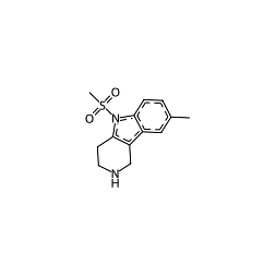 Cc1ccc2c(c1)c1c(n2S(C)(=O)=O)CCNC1